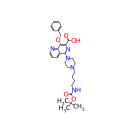 CC(C)(C)OC(=O)NCCCCN1CCN(c2nc(C(=O)O)c(OCc3ccccc3)c3ncccc23)CC1